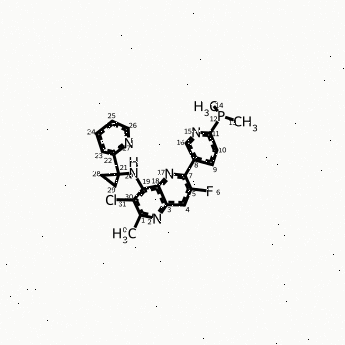 Cc1nc2cc(F)c(-c3ccc(P(C)C)nc3)nc2c(NC2(c3ccccn3)CC2)c1Cl